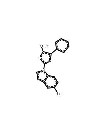 CCOC(=O)c1sc(-n2cnc3cc(O)ccc32)nc1-c1ccccc1